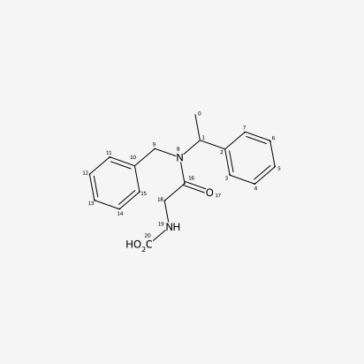 CC(c1ccccc1)N(Cc1ccccc1)C(=O)CNC(=O)O